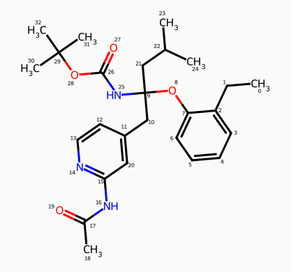 CCc1ccccc1OC(Cc1ccnc(NC(C)=O)c1)(CC(C)C)NC(=O)OC(C)(C)C